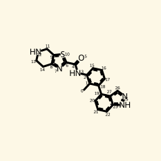 Cc1c(NC(=O)c2nc3c(s2)CNCC3)cccc1-c1cccc2[nH]ncc12